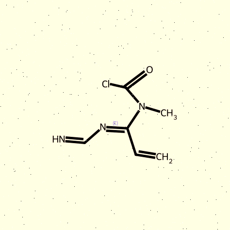 C=C/C(=N\C=N)N(C)C(=O)Cl